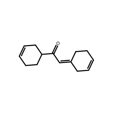 O=C(C=C1CC=CCC1)C1CC=CCC1